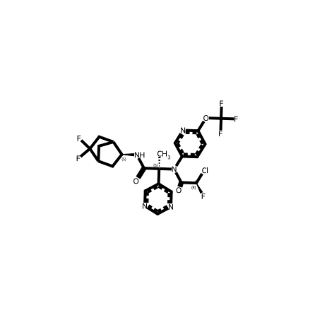 C[C@@](C(=O)N[C@H]1CC2CC1CC2(F)F)(c1cncnc1)N(C(=O)[C@H](F)Cl)c1ccc(OC(F)(F)F)nc1